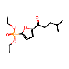 CCOP(=O)(OCC)c1ccc(C(=O)CCC(C)C)o1